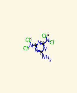 Nc1nc(N(Cl)Cl)nc(N(Cl)Cl)n1